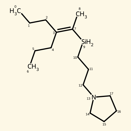 CCCC(CCC)=C(C)[SiH2]CCCN1CCCC1